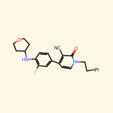 CC(C)CCn1ccc(-c2ccc(NC3CCOCC3)c(F)c2)c(C#N)c1=O